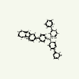 c1ccc(-c2ccc(N(c3ccc(-c4cnc5c(c4)sc4ccccc45)cc3)c3cccc(-c4ccccc4)c3)cc2)cc1